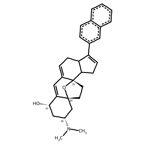 CN(C)[C@@H]1C[C@H](O)C2=CC3=CCC4C(c5ccc6ccccc6c5)=CCC4[C@@]34CC[C@]2(C1)O4